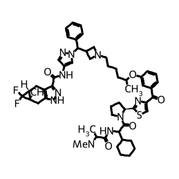 CNC(C)C(=O)NC(C(=O)N1CCC[C@H]1c1nc(C(=O)c2cccc(OC(C)CCCCN3CC(C(c4ccccc4)n4cc(NC(=O)c5n[nH]c6c5C[C@@H]5C(F)(F)[C@]5(C)C6)cn4)C3)c2)cs1)C1CCCCC1